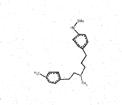 CSNc1ccc(CCCN(C)CCc2ccc(C)cc2)cc1